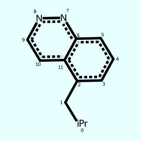 CC(C)Cc1cccc2nnccc12